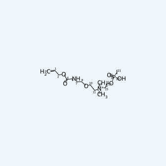 C=CCOC(=O)NCCOCC[N+](C)(C)CCOP(=O)(O)I